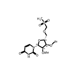 CO[C@@H]1[C@H](OC(C)C)[C@@H](COCS(C)(=O)=O)O[C@H]1n1ccc(=O)[nH]c1=O